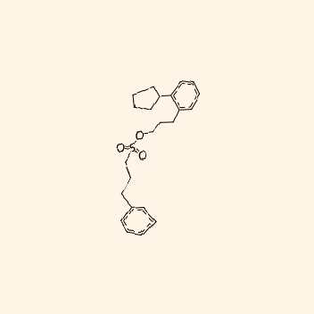 O=S(=O)(CCCc1ccccc1)OCCCc1ccccc1C1CCCC1